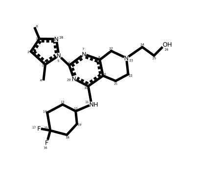 Cc1cc(C)n(-c2nc3c(c(NC4CCC(F)(F)CC4)n2)CCN(CCO)C3)n1